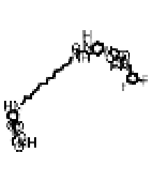 O=C(NCCCCCCCCCCCCCCNc1ccc2c(c1)ON(C1CCONO1)O2)c1cc2cc(N3CCC(O)(C(=O)NCc4cc(F)cc(F)c4)O3)ccc2[nH]1